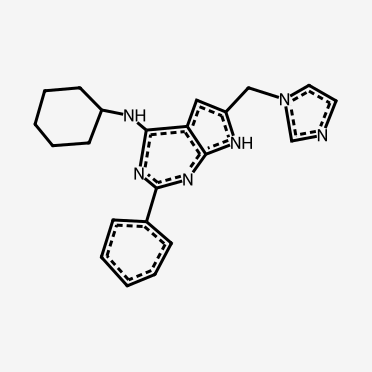 c1ccc(-c2nc(NC3CCCCC3)c3cc(Cn4ccnc4)[nH]c3n2)cc1